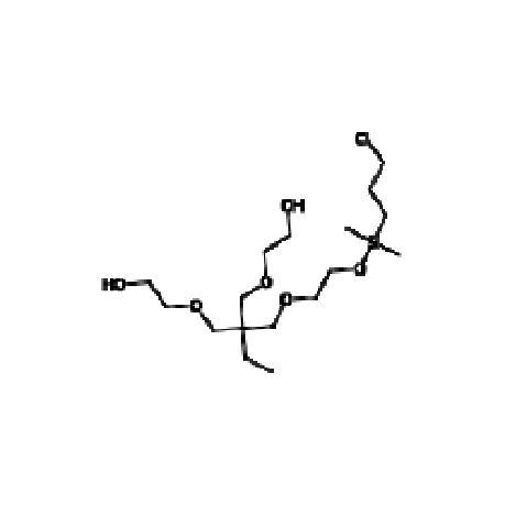 CCC(COCCO)(COCCO)COCCO[Si](C)(C)CCCCl